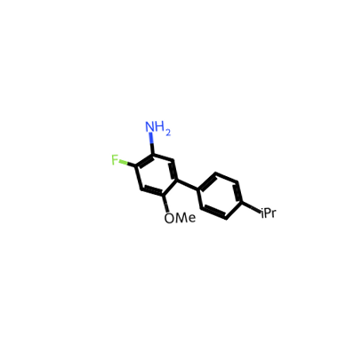 COc1cc(F)c(N)cc1-c1ccc(C(C)C)cc1